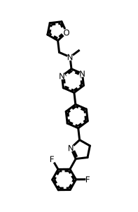 CN(Cc1ccco1)c1ncc(-c2ccc(C3CCC(c4c(F)cccc4F)=N3)cc2)cn1